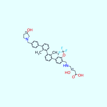 Cc1c(-c2ccc(CN3CC[C@@H](O)C3)cc2)cccc1-c1cccc(-c2ccc(CNC[C@@H](O)CC(=O)O)c(OC(F)(F)F)c2)c1C